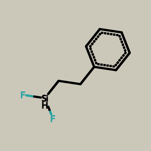 F[SiH](F)CCc1ccccc1